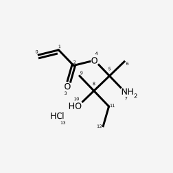 C=CC(=O)OC(C)(N)C(C)(O)CC.Cl